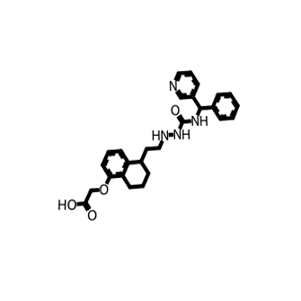 O=C(O)COc1cccc2c1CCCC2CCNNC(=O)NC(c1ccccc1)c1cccnc1